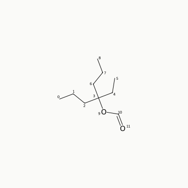 CCCC(CC)(CCC)OC=O